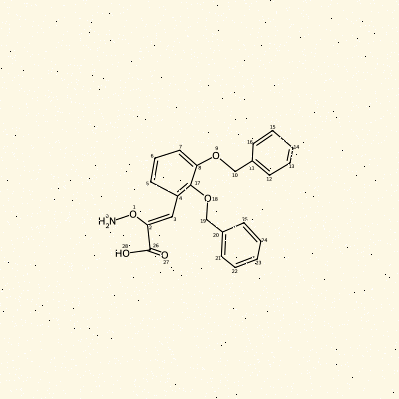 NOC(=Cc1cccc(OCc2ccccc2)c1OCc1ccccc1)C(=O)O